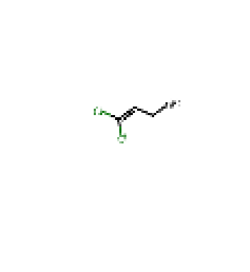 [CH2]CCCC=C(Cl)Cl